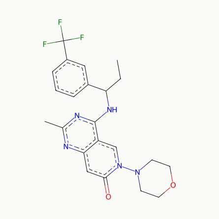 CCC(Nc1nc(C)nc2cc(=O)n(N3CCOCC3)cc12)c1cccc(C(F)(F)F)c1